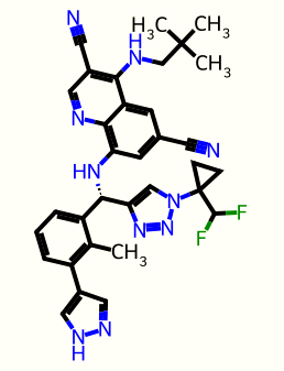 Cc1c(-c2cn[nH]c2)cccc1[C@H](Nc1cc(C#N)cc2c(NCC(C)(C)C)c(C#N)cnc12)c1cn(C2(C(F)F)CC2)nn1